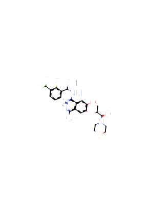 Cc1nnc(NC(C)c2cccc(C(F)F)c2F)c2cc3c(cc12)OC(C(=O)N1CCOCC1)CO3